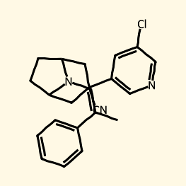 CC(=CN1C2CCC1CC(C#N)(c1cncc(Cl)c1)C2)c1ccccc1